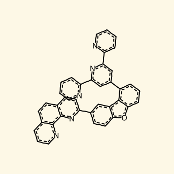 c1ccc(-c2cc(-c3cccc4oc5ccc(-c6ccc7ccc8cccnc8c7n6)cc5c34)cc(-c3ccccn3)n2)nc1